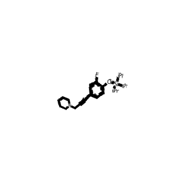 CC(C)[Si](Oc1ccc(C#CCN2CCCCC2)cc1F)(C(C)C)C(C)C